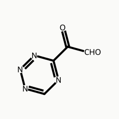 O=CC(=O)c1ncnnn1